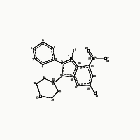 Cn1c(-c2ccccc2)c(N2CCOCC2)c2cc(Cl)cc([N+](=O)[O-])c21